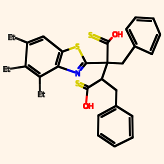 CCc1cc2sc(C(Cc3ccccc3)(C(O)=S)C(Cc3ccccc3)C(O)=S)nc2c(CC)c1CC